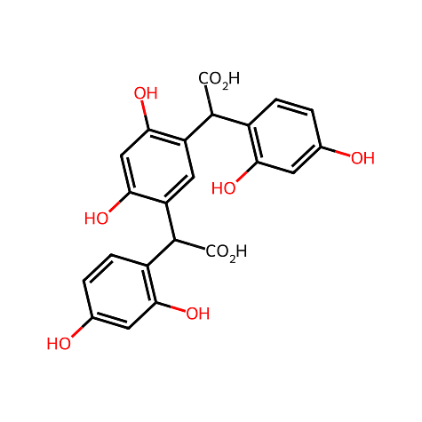 O=C(O)C(c1ccc(O)cc1O)c1cc(C(C(=O)O)c2ccc(O)cc2O)c(O)cc1O